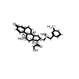 CC1C=C(CN(O)C[C@@H]2CC3[C@@H]4CCC5=CC(=O)C=C[C@]5(C)C4[C@@H](O)C[C@]3(C)[C@H]2C(=O)CO)C=CC1